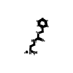 O=C(NCC[PH](=O)O)OCc1ccccc1